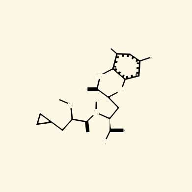 CNC(CC1CC1)C(=O)N1C[C@@]2(C[C@H]1C(N)=O)Oc1cc(F)cc(F)c1NC2=O